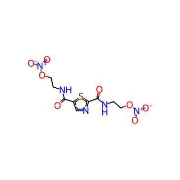 O=C(NCCO[N+](=O)[O-])c1cnc(C(=O)NCCO[N+](=O)[O-])s1